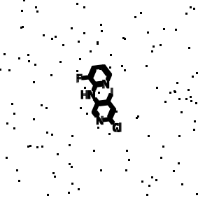 Fc1cccnc1Nc1cnc(Cl)cc1I